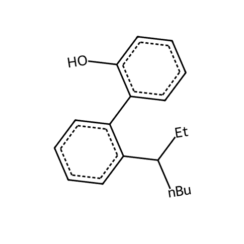 CCCCC(CC)c1ccccc1-c1ccccc1O